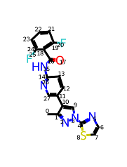 Cc1nn(-c2nccs2)cc1-c1ccc(NC(=O)c2c(F)cccc2F)nc1